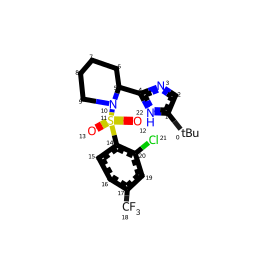 CC(C)(C)c1cnc(C2CCCCN2S(=O)(=O)c2ccc(C(F)(F)F)cc2Cl)[nH]1